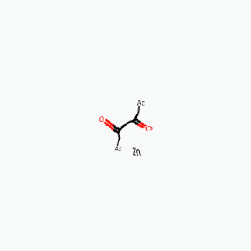 CC(=O)C(=O)C(=O)C(C)=O.[Zn]